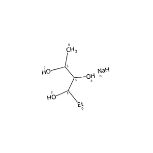 CCC(O)C(O)C(C)O.[NaH]